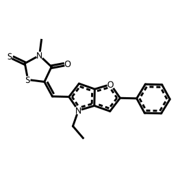 CCn1c(/C=C2/SC(=S)N(C)C2=O)cc2oc(-c3ccccc3)cc21